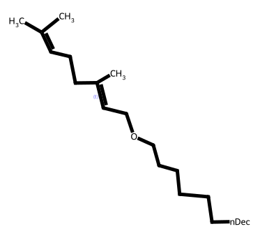 CCCCCCCCCCCCCCCCOC/C=C(\C)CCC=C(C)C